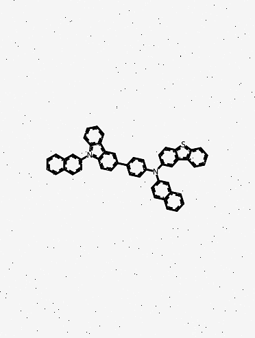 c1ccc2cc(N(c3ccc(-c4ccc5c(c4)c4ccccc4n5-c4ccc5ccccc5c4)cc3)c3ccc4sc5ccccc5c4c3)ccc2c1